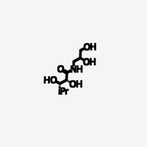 CC(C)[C@H](O)[C@@H](O)C(=O)NC[C@H](O)CO